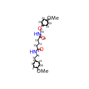 COc1ccc(CCNC(=O)CCCC(=O)NCOc2ccc(OC)cc2)cc1